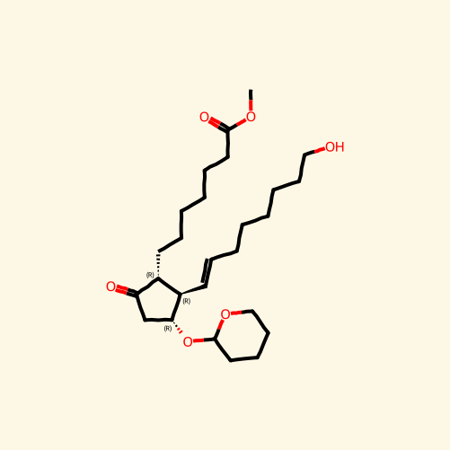 COC(=O)CCCCCC[C@H]1C(=O)C[C@@H](OC2CCCCO2)[C@@H]1C=CCCCCCCO